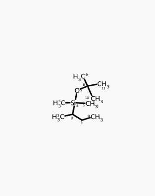 CCC(C)[Si](C)(C)OC(C)(C)C